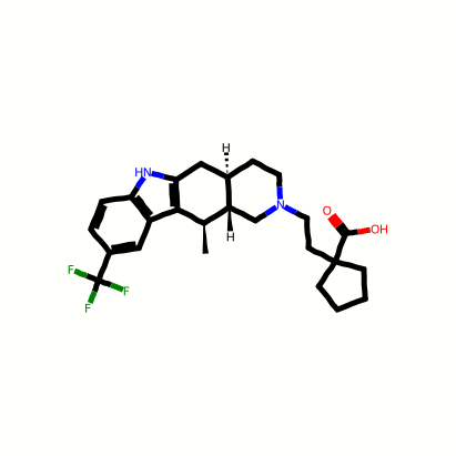 C[C@H]1c2c([nH]c3ccc(C(F)(F)F)cc23)C[C@H]2CCN(CCC3(C(=O)O)CCCC3)C[C@@H]21